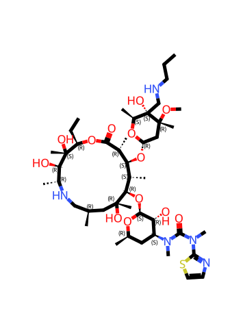 CCCNC[C@]1(O)[C@H](C)O[C@@H](O[C@H]2[C@H](C)[C@@H](O[C@@H]3O[C@H](C)C[C@H](N(C)C(=O)N(C)c4nccs4)[C@H]3O)[C@](C)(O)C[C@@H](C)CN[C@H](C)[C@@H](O)[C@](C)(O)[C@@H](CC)OC(=O)[C@@H]2C)C[C@@]1(C)OC